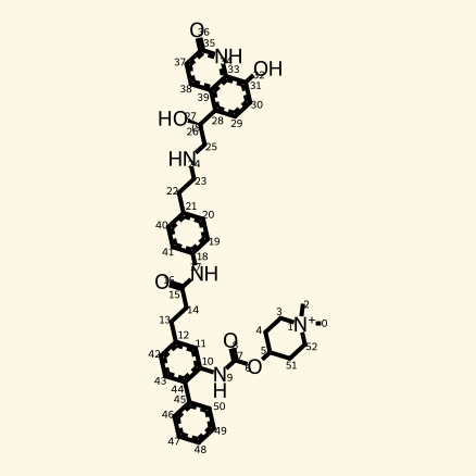 C[N+]1(C)CCC(OC(=O)Nc2cc(CCC(=O)Nc3ccc(CCNC[C@@H](O)c4ccc(O)c5[nH]c(=O)ccc45)cc3)ccc2-c2ccccc2)CC1